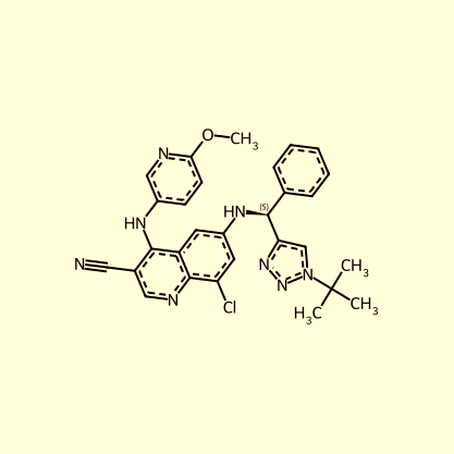 COc1ccc(Nc2c(C#N)cnc3c(Cl)cc(N[C@@H](c4ccccc4)c4cn(C(C)(C)C)nn4)cc23)cn1